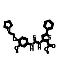 COC(=O)c1sc(-c2ccccc2)cc1NC(=S)Nc1ccc(OCCN2CCCC2)c(OC)c1